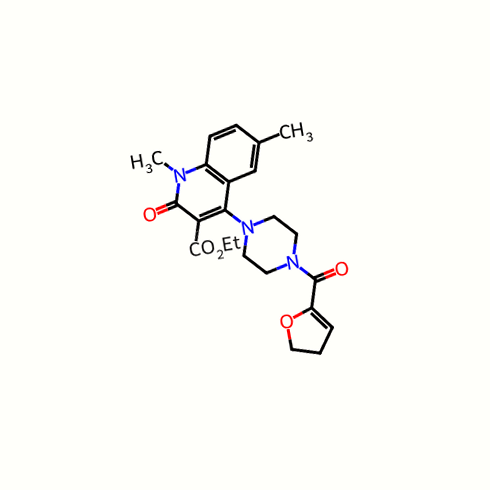 CCOC(=O)c1c(N2CCN(C(=O)C3=CCCO3)CC2)c2cc(C)ccc2n(C)c1=O